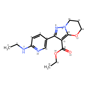 CCNc1ccc(-c2nn3c(c2C(=O)OCC)OCCC3)cn1